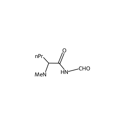 CCCC(NC)C(=O)NC=O